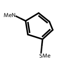 CNc1cccc(SC)c1